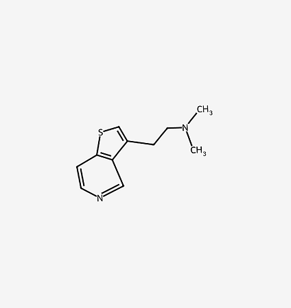 CN(C)CCc1csc2ccncc12